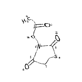 CC(=O)ON1C(=O)CSC1=O